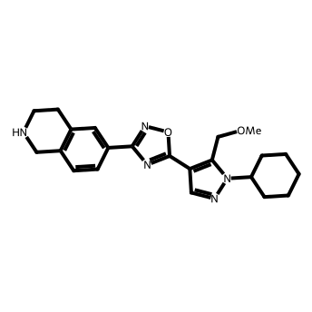 COCc1c(-c2nc(-c3ccc4c(c3)CCNC4)no2)cnn1C1CCCCC1